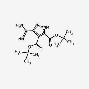 CC(C)(C)OC(=O)c1[nH]nc(C(=N)N)c1C(=O)OC(C)(C)C